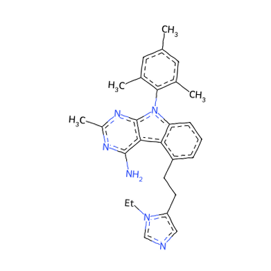 CCn1cncc1CCc1cccc2c1c1c(N)nc(C)nc1n2-c1c(C)cc(C)cc1C